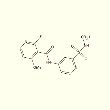 COc1ccnc(F)c1C(=O)Nc1ccnc(S(=O)(=O)NC(=O)O)c1